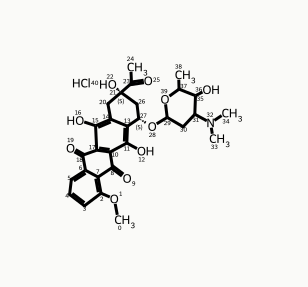 COc1cccc2c1C(=O)c1c(O)c3c(c(O)c1C2=O)C[C@@](O)(C(C)=O)C[C@@H]3OC1CC(N(C)C)C(O)C(C)O1.Cl